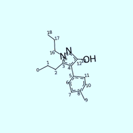 CCCc1c(-c2ccc(C)cc2)c(O)nn1CCC